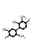 Cc1cc(F)c(Cl)cc1-c1[c]cc(F)c(C)c1Cl